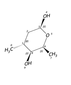 C[C@@H]1C[C@@H](O)O[C@@H](C)[C@H]1O